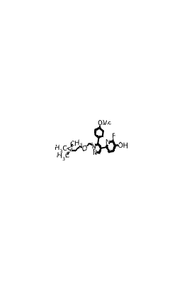 COc1ccc(-c2c(-c3ccc(O)c(F)n3)cnn2COCC[Si](C)(C)C)cc1